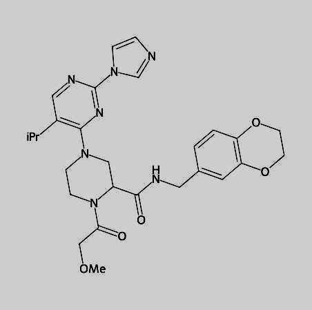 COCC(=O)N1CCN(c2nc(-n3ccnc3)ncc2C(C)C)CC1C(=O)NCc1ccc2c(c1)OCCO2